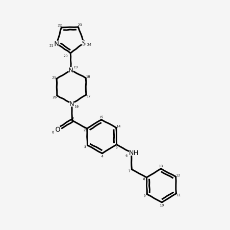 O=C(c1ccc(NCc2ccccc2)cc1)N1CCN(c2nccs2)CC1